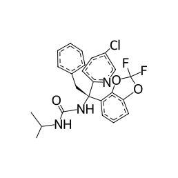 CC(C)NC(=O)N[C@](Cc1ccccc1)(c1ccc(Cl)cn1)c1cccc2c1OC(F)(F)O2